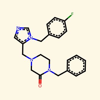 O=C1CN(Cc2cncn2Cc2ccc(F)cc2)CCN1Cc1ccccc1